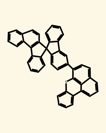 c1ccc2c(c1)Sc1c(-c3ccc4c(c3)-c3ccccc3C43c4ccccc4-c4c3ccc3ccccc43)ccc3cccc-2c13